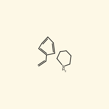 C1CC[SiH2]CC1.C=Cc1ccccc1